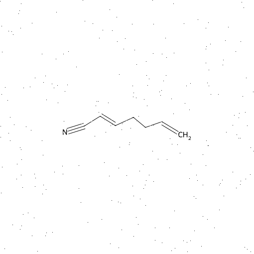 C=CCC/C=C/C#N